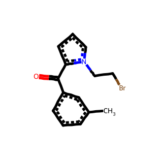 Cc1cccc(C(=O)c2cccn2CCBr)c1